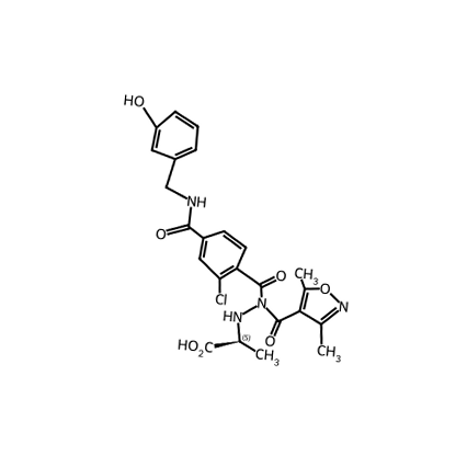 Cc1noc(C)c1C(=O)N(N[C@@H](C)C(=O)O)C(=O)c1ccc(C(=O)NCc2cccc(O)c2)cc1Cl